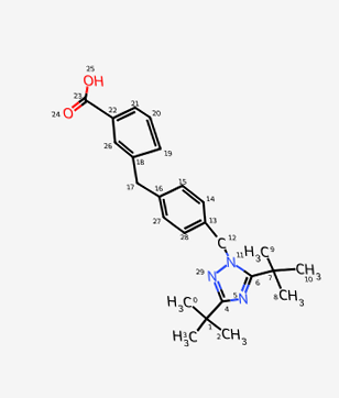 CC(C)(C)c1nc(C(C)(C)C)n(Cc2ccc(Cc3cccc(C(=O)O)c3)cc2)n1